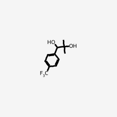 CC(C)(O)C(O)c1ccc(C(F)(F)F)cc1